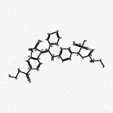 CCNC(=O)CN(c1ccc(NC(=C2C(=O)Nc3cc(C(=O)OCC)ccc32)c2ccccc2)cc1)S(C)(=O)=O